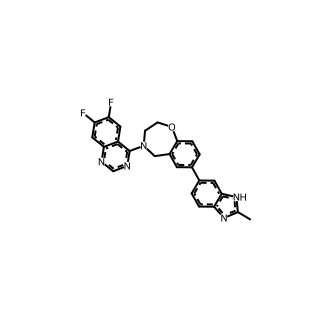 Cc1nc2ccc(-c3ccc4c(c3)CN(c3ncnc5cc(F)c(F)cc35)CCO4)cc2[nH]1